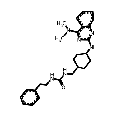 CN(C)c1nc(NC2CCC(CNC(=O)NCCc3ccccc3)CC2)nc2ccccc12